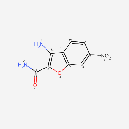 NC(=O)c1oc2cc([N+](=O)[O-])ccc2c1N